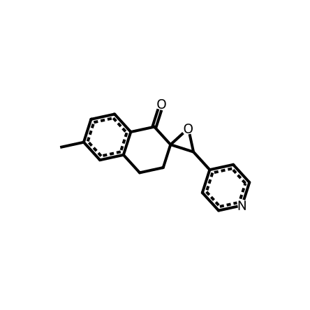 Cc1ccc2c(c1)CCC1(OC1c1ccncc1)C2=O